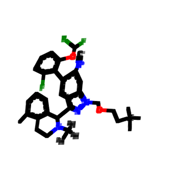 [2H]C([2H])([2H])N1CCc2c(C)cccc2C1c1nn(COCC[Si](C)(C)C)c2cc([N+]#[C-])c(-c3c(F)cccc3OC(F)F)cc12